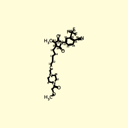 COCC(=O)N1CCN(CCCCCCCC2=C(C)C(=O)N(c3ccc(C#N)c(C(F)(F)F)c3)C2=O)CC1